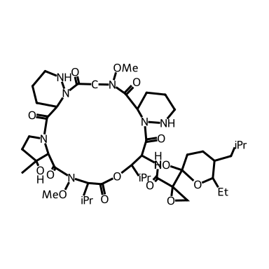 CCC1OC(O)(C2(C(=O)NC3C(=O)N4NCCCC4C(=O)N(OC)CC(=O)N4NCCCC4C(=O)N4CCC(C)(O)C4C(=O)N(OC)C(C(C)C)C(=O)OC3C(C)C)CO2)CCC1CC(C)C